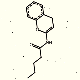 CCCCC(=O)NC1=CCc2ccccc2O1